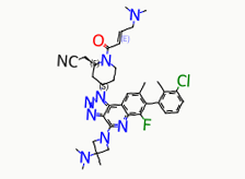 Cc1cc2c(nc(N3CC(C)(N(C)C)C3)c3nnn([C@H]4CCN(C(=O)/C=C/CN(C)C)[C@H](CC#N)C4)c32)c(F)c1-c1cccc(Cl)c1C